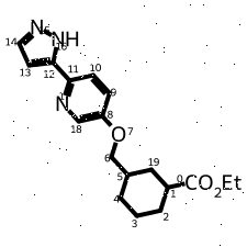 CCOC(=O)C1CCCC(COc2ccc(-c3ccn[nH]3)nc2)C1